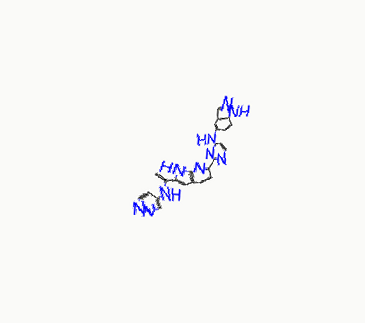 C=C(Nc1ccnnc1)c1cc2ccc(-c3nccc(Nc4ccc5[nH]ncc5c4)n3)nc2[nH]1